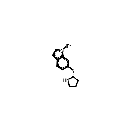 CC(C)n1ccc2ccc(C[C@@H]3CCCN3)cc21